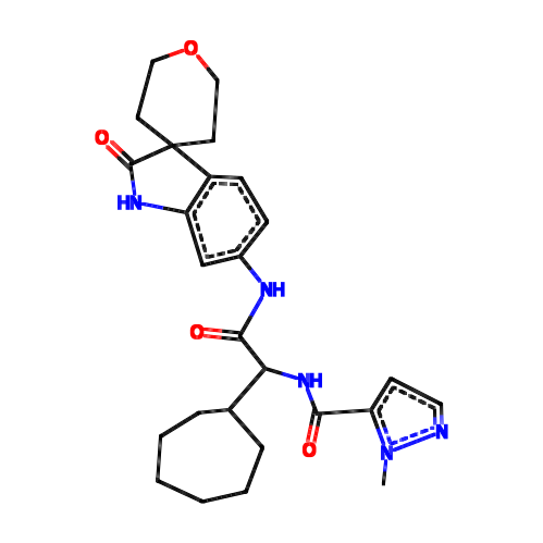 Cn1nccc1C(=O)NC(C(=O)Nc1ccc2c(c1)NC(=O)C21CCOCC1)C1CCCCCC1